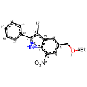 CCOCc1cc([N+](=O)[O-])c2[nH]c(-c3ccccc3)c(C)c2c1